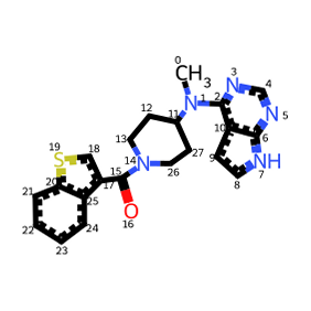 CN(c1ncnc2[nH]ccc12)C1CCN(C(=O)c2csc3ccccc23)CC1